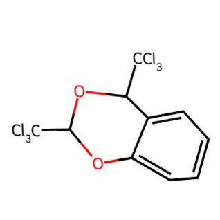 ClC(Cl)(Cl)C1Oc2ccccc2C(C(Cl)(Cl)Cl)O1